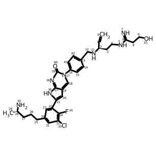 C=C[C@@H](CCNC(=N)CCO)NCc1ccc(-n2cc3cc(-c4cc(CCC[C@H](C)N)cc(Cl)c4F)[nH]c3nc2=O)cc1